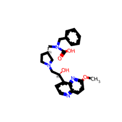 COc1ccc2nccc([C@@H](O)CN3CC[C@H](CN(Cc4ccccc4)C(=O)O)C3)c2n1